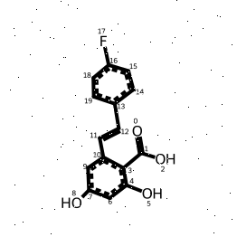 O=C(O)c1c(O)cc(O)cc1C=Cc1ccc(F)cc1